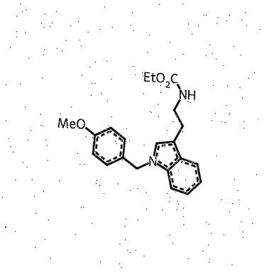 CCOC(=O)NCCc1cn(Cc2ccc(OC)cc2)c2ccccc12